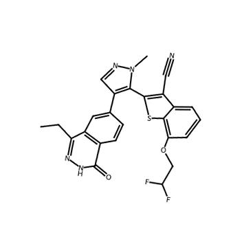 CCc1n[nH]c(=O)c2ccc(-c3cnn(C)c3-c3sc4c(OCC(F)F)cccc4c3C#N)cc12